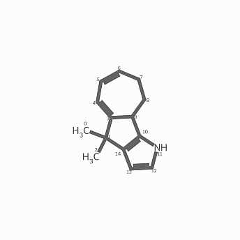 CC1(C)C2=CC=CCCC2c2[nH]ccc21